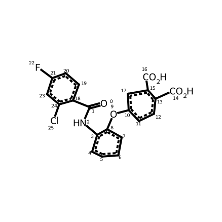 O=C(Nc1ccccc1Oc1ccc(C(=O)O)c(C(=O)O)c1)c1ccc(F)cc1Cl